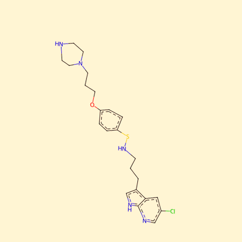 Clc1cnc2[nH]cc(CCCNSc3ccc(OCCCN4CCNCC4)cc3)c2c1